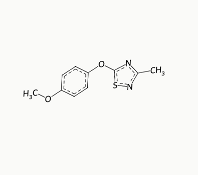 COc1ccc(Oc2nc(C)ns2)cc1